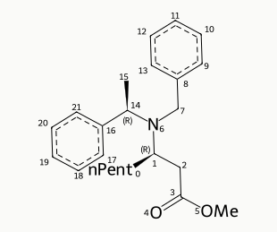 CCCCC[C@H](CC(=O)OC)N(Cc1ccccc1)[C@H](C)c1ccccc1